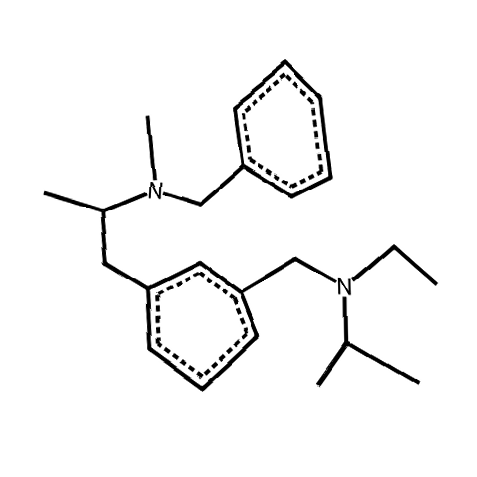 CCN(Cc1cccc(CC(C)N(C)Cc2ccccc2)c1)C(C)C